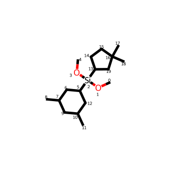 CO[Si](OC)(C1CC(C)CC(C)C1)C1CCC(C)(C)C1